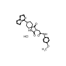 COc1ccc(NC(=O)CN2C(=O)NC3(CCN(c4nccc5cccn45)CC3)C2=O)cc1.Cl